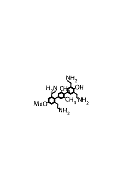 COc1cc(CCN)c(-c2cc(C)c(-c3cc(CCN)c(O)c(CCN)c3)c(C)c2)c(CCN)c1